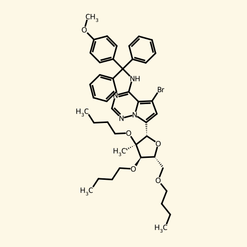 CCCCOC[C@H]1O[C@@H](c2cc(Br)c3c(NC(c4ccccc4)(c4ccccc4)c4ccc(OC)cc4)ncnn23)[C@](C)(OCCCC)[C@@H]1OCCCC